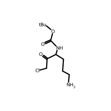 CC(C)(C)OC(=O)NC(CCCN)C(=O)CCl